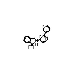 FC(F)(F)c1ccccc1CNc1ccnc(-c2cccnc2)n1